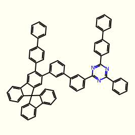 c1ccc(-c2ccc(-c3nc(-c4ccccc4)nc(-c4cccc(-c5cccc(-c6cc7c(cc6-c6ccc(-c8ccccc8)cc6)-c6ccccc6C76c7ccccc7-c7ccccc76)c5)c4)n3)cc2)cc1